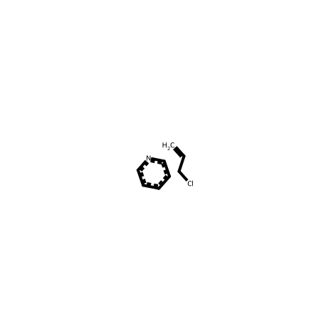 C=CCCl.c1ccncc1